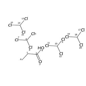 CCC(=O)O.ClC(Cl)Cl.ClC(Cl)Cl.ClC(Cl)Cl.ClC(Cl)Cl